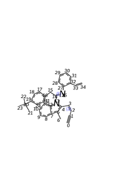 C#C/C=C\c1c(C)c2ccccc2n1/C(Cc1ccc(C(C)(C)C)cc1)=N/c1ccccc1C=C